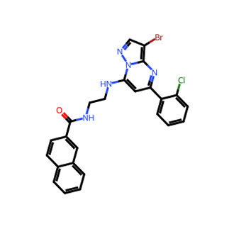 O=C(NCCNc1cc(-c2ccccc2Cl)nc2c(Br)cnn12)c1ccc2ccccc2c1